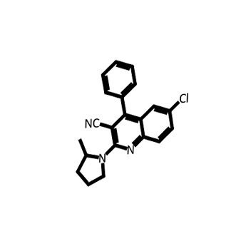 CC1CCCN1c1nc2ccc(Cl)cc2c(-c2ccccc2)c1C#N